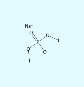 O=P([O-])(OI)OI.[Na+]